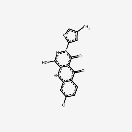 Cc1csc(-n2nc(O)c3[nH]c4cc(Cl)ccc4c(=O)c3c2=O)c1